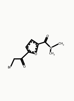 CN(C)C(=O)c1ccc(C(=O)CBr)o1